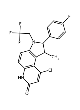 CC1c2c(ccc3[nH]c(=O)cc(Cl)c23)N(CC(F)(F)F)C1c1ccc(F)cc1